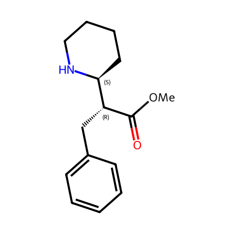 COC(=O)[C@H](Cc1ccccc1)[C@@H]1CCCCN1